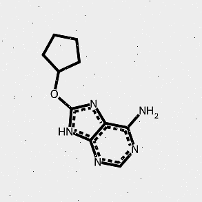 Nc1ncnc2[nH]c(OC3CCCC3)nc12